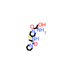 N[C@@H](CO)C(=O)N1CCC2(CC1)N[C@H](C(=O)N1CCCCC1)CS2